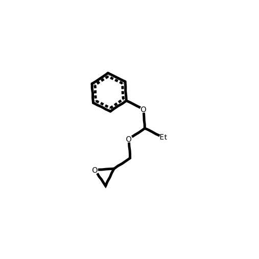 CCC(OCC1CO1)Oc1ccccc1